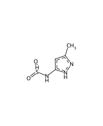 Cc1cc(N[SH](=O)=O)[nH]n1